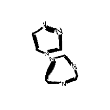 c1cnncn1.c1ncncn1